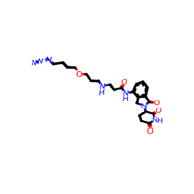 [N-]=[N+]=NCCCCOCCCNCCC(=O)Nc1cccc2c1CN(C1CCC(=O)NC1=O)C2=O